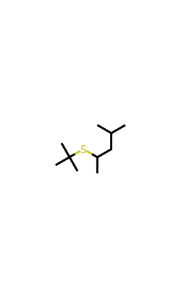 CC(C)CC(C)SC(C)(C)C